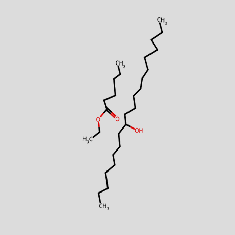 CCCCCC(=O)OCC.CCCCCCCCCCCC(O)CCCCCCCC